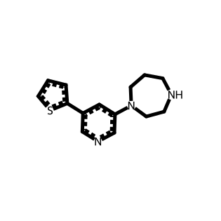 c1csc(-c2cncc(N3CCCNCC3)c2)c1